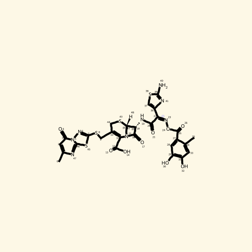 Cc1cc(=O)n2nc(SCC3=C(C(=O)O)N4C(=O)[C@@H](NC(=O)/C(=N\OC(=O)c5cc(O)c(O)cc5C)c5csc(N)n5)[C@H]4SC3)sc2n1